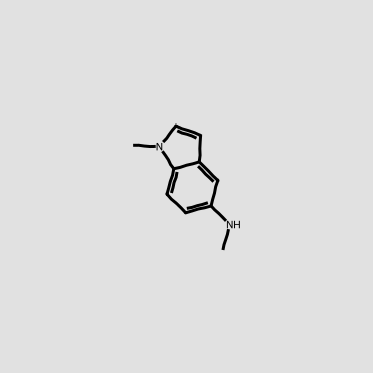 CNc1ccc2c(c[c]n2C)c1